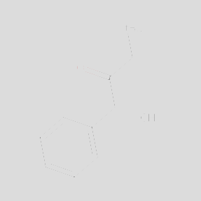 C[C@@H](C(=O)CC(C)(C)C)c1ccccc1